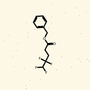 O=C(CCC(F)(F)C(F)F)OCc1ccccc1